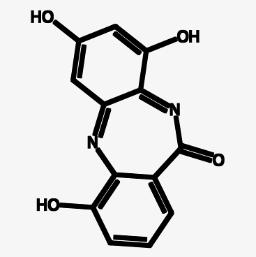 O=c1nc2c(O)cc(O)cc2nc2c(O)cccc12